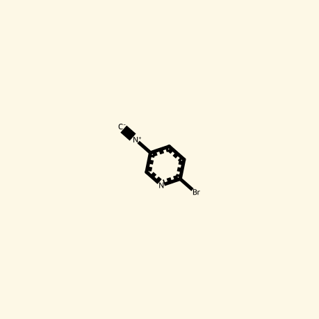 [C-]#[N+]c1ccc(Br)nc1